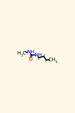 CCC[CH]NC(=O)NC